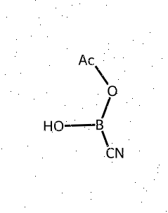 CC(=O)OB(O)C#N